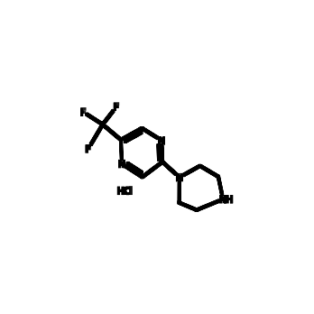 Cl.FC(F)(F)c1cnc(N2CCNCC2)cn1